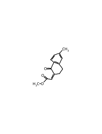 COC(=O)/C=C1/CCc2cc(C)ccc2C1=O